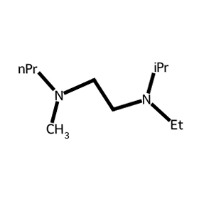 CCCN(C)CCN(CC)C(C)C